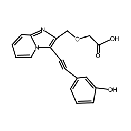 O=C(O)COCc1nc2ccccn2c1C#Cc1cccc(O)c1